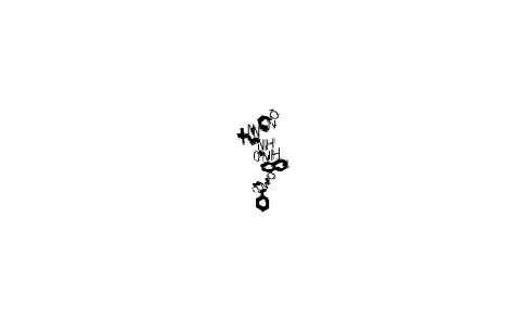 COc1ccc(-n2nc(C(C)(C)C)cc2NC(=O)Nc2ccc(OCCN3C=COC(C4=CC=CCC4)=C3)c3ccccc23)cn1